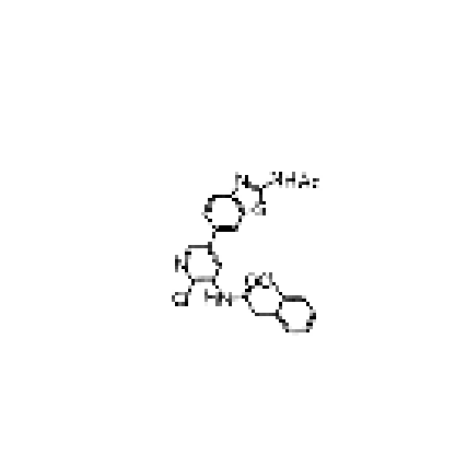 CC(=O)Nc1nc2ccc(-c3cnc(Cl)c(NC(=O)Cc4ccccc4Cl)c3)cc2s1